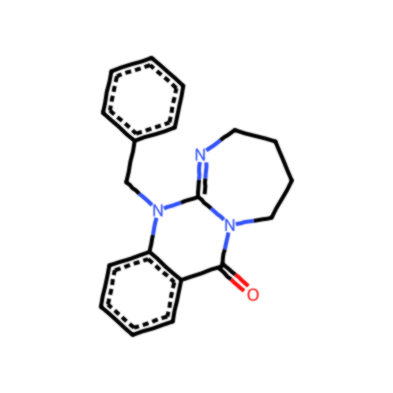 O=C1c2ccccc2N(Cc2ccccc2)C2=NCCCCN12